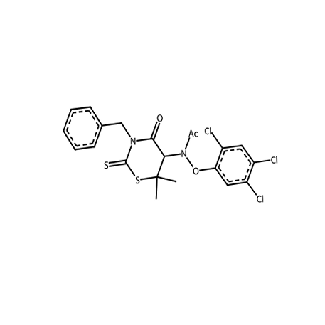 CC(=O)N(Oc1cc(Cl)c(Cl)cc1Cl)C1C(=O)N(Cc2ccccc2)C(=S)SC1(C)C